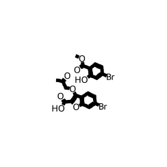 CC(=O)COc1c(C(=O)O)oc2cc(Br)ccc12.COC(=O)c1ccc(Br)cc1O